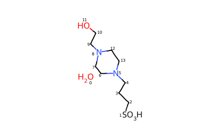 O.O=S(=O)(O)CCCN1CCN(CCO)CC1